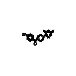 Cc1cnc(N2CCN(C(=O)c3ccc(Br)cc3)CC2)c(C)c1